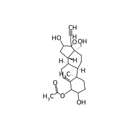 C#CC1(O)C(O)C[C@H]2[C@@H]3CC=C4C(OC(C)=O)C(O)CC[C@]4(C)[C@@H]3CC[C@@]21CO